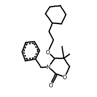 CC1(C)COC(=O)N(Cc2ccccc2)C1OCCC1CCCCC1